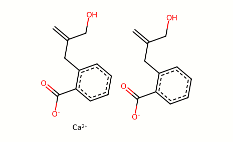 C=C(CO)Cc1ccccc1C(=O)[O-].C=C(CO)Cc1ccccc1C(=O)[O-].[Ca+2]